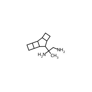 CC(N)(CN)C1C2CCC2C2C3CCC3C21